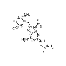 CC(N)CNc1nc(N)c2nc(Cc3cc(Cl)ccc3N)n(C(C)C)c2n1